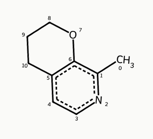 Cc1nccc2c1OCCC2